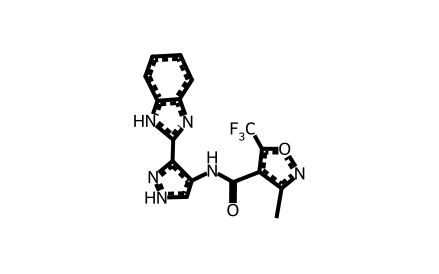 Cc1noc(C(F)(F)F)c1C(=O)Nc1c[nH]nc1-c1nc2ccccc2[nH]1